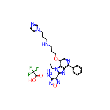 CCn1c(-c2nonc2N)nc2c(-c3ccccc3)ncc(OCCCNCCCn3ccnc3)c21.O=C(O)C(F)(F)F